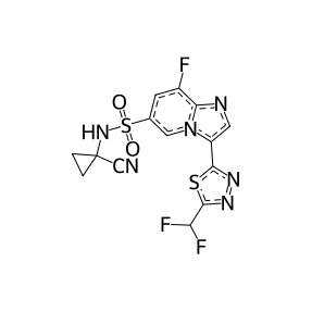 N#CC1(NS(=O)(=O)c2cc(F)c3ncc(-c4nnc(C(F)F)s4)n3c2)CC1